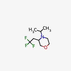 CC(C)N1CCOCC1CC(F)(F)F